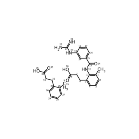 Cc1cccc(CCC(=O)O)c1NC(=O)c1cccc(NC(=N)N)c1.Cc1ccccc1CCC(=O)O